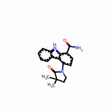 CC1(C)CCN(c2ccc(C(N)=O)c3[nH]c4ccccc4c23)C1=O